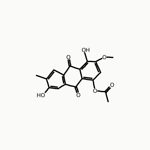 COc1cc(OC(C)=O)c2c(c1O)C(=O)c1cc(C)c(O)cc1C2=O